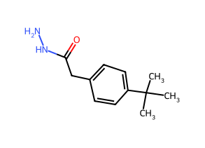 CC(C)(C)c1ccc(CC(=O)NN)cc1